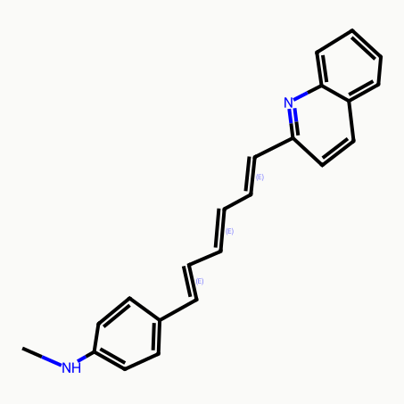 CNc1ccc(/C=C/C=C/C=C/c2ccc3ccccc3n2)cc1